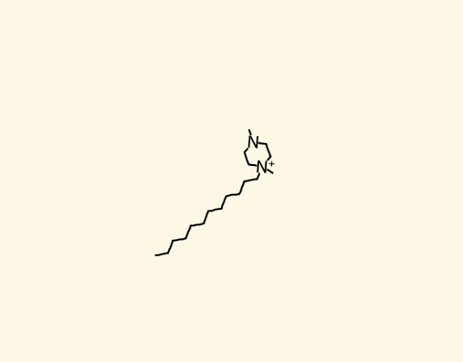 CCCCCCCCCCCC[N+]1(C)CCN(C)CC1